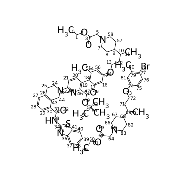 CCOC(=O)CN1CCC(C(C)CCOc2ccc(-c3ccc(N4CCc5cccc(C(=O)Nc6nc7ccccc7s6)c5C4)nc3C(=O)OC(C)(C)C)c(C)c2)CC1.CCOC(=O)CN1CCC(C(C)CCOc2ccc(Br)c(C)c2)CC1